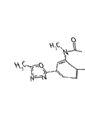 Cc1nnc(C2=CCC3OCCC(=O)N(C)C3=C2)o1